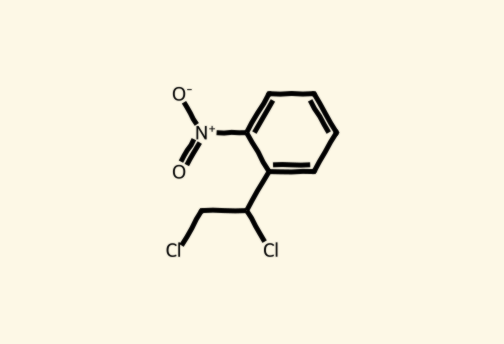 O=[N+]([O-])c1ccccc1C(Cl)CCl